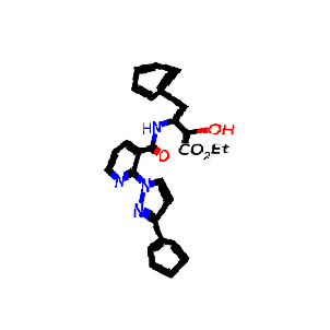 CCOC(=O)C(O)C(Cc1ccccc1)NC(=O)c1cccnc1-n1ccc(-c2ccccc2)n1